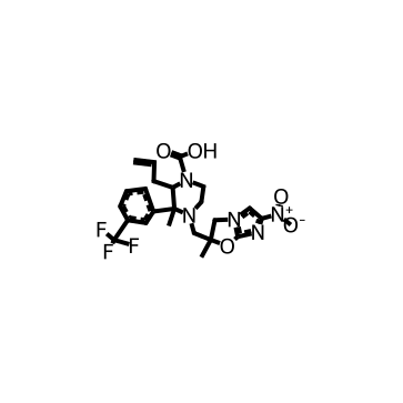 C=CCC1N(C(=O)O)CCN(CC2(C)Cn3cc([N+](=O)[O-])nc3O2)C1(C)c1cccc(C(F)(F)F)c1